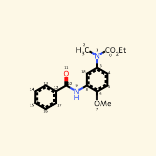 CCOC(=O)N(C)c1ccc(OC)c(NC(=O)c2ccccc2)c1